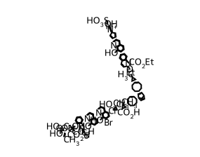 C1=CC2C=CC1C2.C1=CCCCCC=C1.C1=CCCCCCC1.CC1(C(=O)O)CC1.CC1CC1.CC1CC1C(=O)O.CC=CP(=O)(O)O.CCOC(=O)N1c2ccccc2C=CC1OCC.O=C(O)CC(O)(CC(=O)O)C(=O)O.O=S(=O)(O)O.Oc1c(Br)cc(Cl)c2cccnc12.Oc1cccc2cccnc12.Oc1cccc2cccnc12.S=C=NCc1ccccc1.[N-]=[N+]=C1C=CC=C1